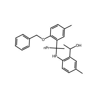 CCCC(C)(Pc1ccc(C)cc1C(C)O)c1cc(C)ccc1OCc1ccccc1